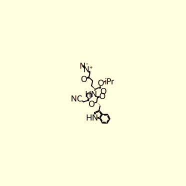 CC(C)OC(=O)[C@H](CCC(=O)C=[N+]=[N-])NC(=O)[C@H](Cc1c[nH]c2ccccc12)OC(=O)CC#N